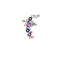 CC(C)(C)OC(=O)N[C@@H](Cc1ccc(N2CC[C@H](O)CC2=O)cc1)C(=O)NCC(C)(C)c1ccc(C(=O)O)cc1